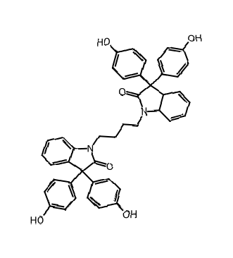 O=C1N(CCCCN2C(=O)C(c3ccc(O)cc3)(c3ccc(O)cc3)C3C=CC=CC32)c2ccccc2C1(c1ccc(O)cc1)c1ccc(O)cc1